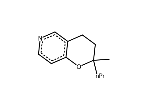 CCCC1(C)CCc2cnccc2O1